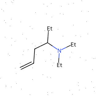 C=CCC(CC)N(CC)CC